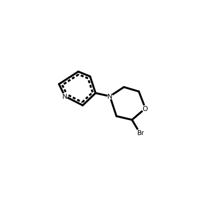 BrC1CN(c2cccnc2)CCO1